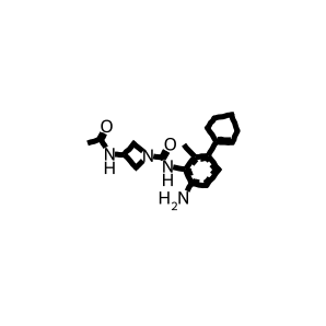 CC(=O)NC1CN(C(=O)Nc2c(N)ccc(C3=CCCCC3)c2C)C1